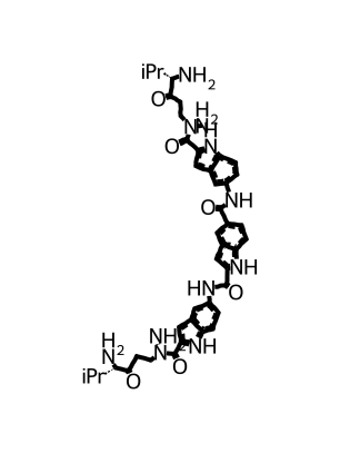 CC(C)[C@H](N)C(=O)CCN(N)C(=O)c1cc2cc(NC(=O)c3ccc4[nH]c(C(=O)Nc5ccc6[nH]c(C(=O)N(N)CCC(=O)[C@@H](N)C(C)C)cc6c5)cc4c3)ccc2[nH]1